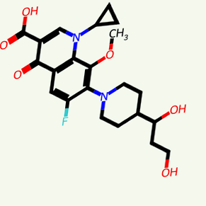 COc1c(N2CCC(C(O)CCO)CC2)c(F)cc2c(=O)c(C(=O)O)cn(C3CC3)c12